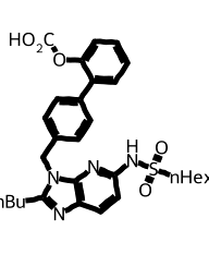 CCCCCCS(=O)(=O)Nc1ccc2nc(CCCC)n(Cc3ccc(-c4ccccc4OC(=O)O)cc3)c2n1